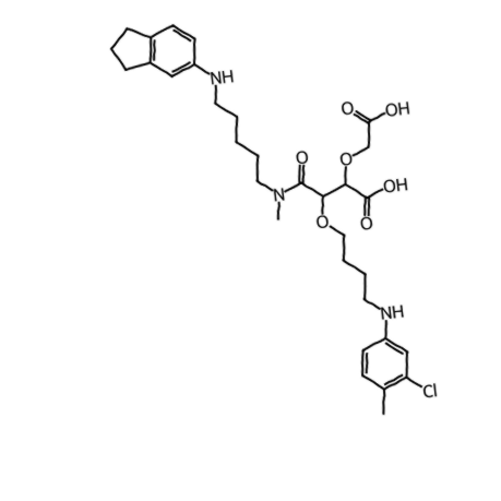 Cc1ccc(NCCCCOC(C(=O)N(C)CCCCCNc2ccc3c(c2)CCC3)C(OCC(=O)O)C(=O)O)cc1Cl